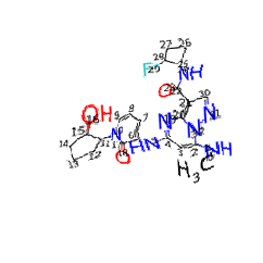 CNc1cc(Nc2cccn([C@H]3CCC[C@H]3O)c2=O)nc2c(C(=O)N[C@H]3CC[C@@H]3F)cnn12